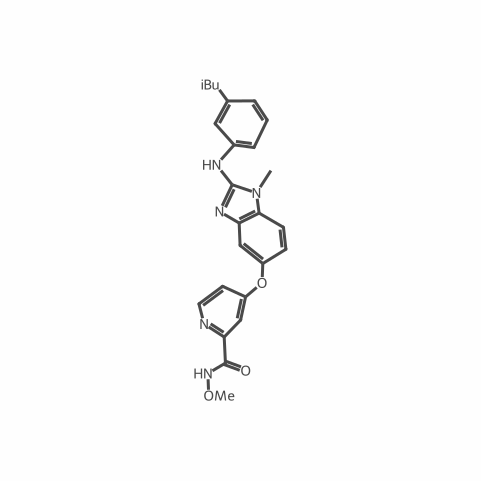 CCC(C)c1cccc(Nc2nc3cc(Oc4ccnc(C(=O)NOC)c4)ccc3n2C)c1